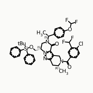 C[C@@H]1Cc2nn3c(c2CN1C(=O)c1ccc(Cl)c(C(F)F)c1)C(=O)N([C@@H](C)c1ccc(OC(F)F)cc1)C[C@H]3CO[Si](c1ccccc1)(c1ccccc1)C(C)(C)C